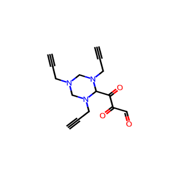 C#CCN1CN(CC#C)C(C(=O)C(=O)C=O)N(CC#C)C1